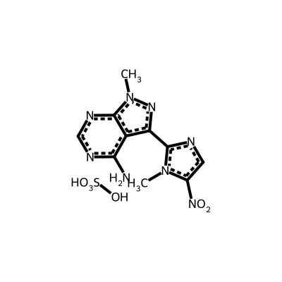 Cn1c([N+](=O)[O-])cnc1-c1nn(C)c2ncnc(N)c12.O=S(=O)(O)O